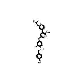 COc1ccc(CNc2ncc(Cc3cnc(OC)c(-c4ccnc(OC(F)F)c4)c3)cc2F)cc1